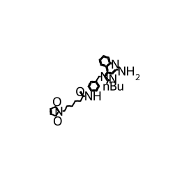 CCCCc1nc2c(N)nc3ccccc3c2n1Cc1ccc(NC(=O)CCCCCN2C(=O)C=CC2=O)cc1